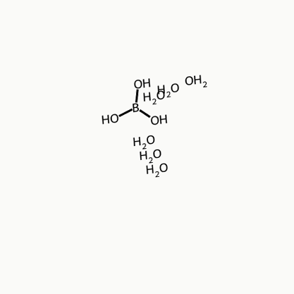 O.O.O.O.O.O.OB(O)O